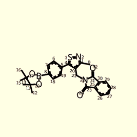 Cc1nsc(-c2ccc(B3OC(C)(C)C(C)(C)O3)cc2)c1CN1C(=O)c2ccccc2C1=O